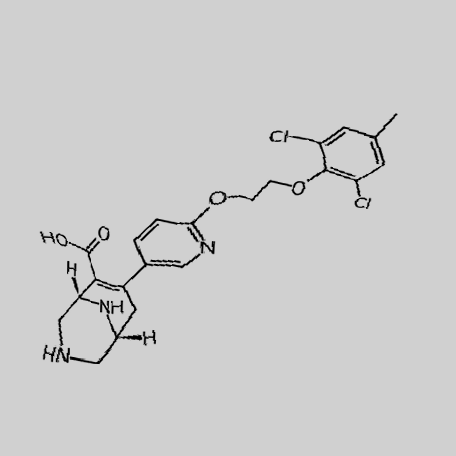 Cc1cc(Cl)c(OCCOc2ccc(C3=C(C(=O)O)[C@H]4CNC[C@@H](C3)N4)cn2)c(Cl)c1